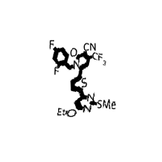 CCOc1cc(-c2ccc(-c3cc(C(F)(F)F)c(C#N)c(=O)n3Cc3ccc(F)cc3F)s2)nc(SC)n1